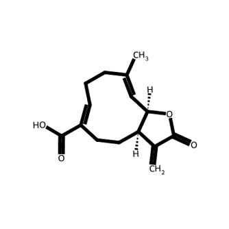 C=C1C(=O)O[C@@H]2/C=C(\C)CC/C=C(\C(=O)O)CC[C@H]12